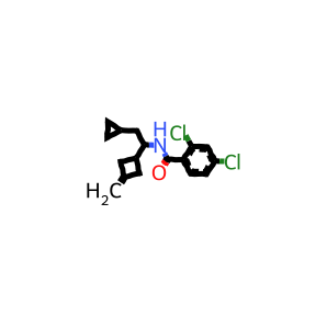 C=C1CC(C(CC2CC2)NC(=O)c2ccc(Cl)cc2Cl)C1